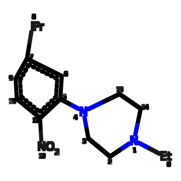 CCN1CCN(c2cc(C(C)C)ccc2[N+](=O)[O-])CC1